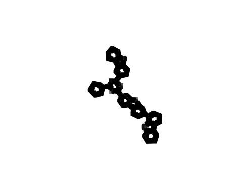 c1ccc(-c2nc(-c3ccc4c(c3)sc3cc(-c5cccc6c5oc5ccccc56)ccc34)nc(-c3ccc4oc5ccccc5c4c3)n2)cc1